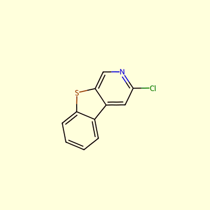 Clc1cc2c(cn1)sc1ccccc12